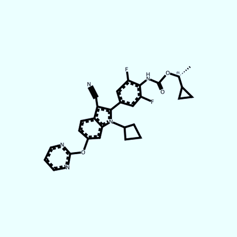 C[C@@H](OC(=O)Nc1c(F)cc(-c2c(C#N)c3ccc(Oc4ncccn4)cc3n2C2CCC2)cc1F)C1CC1